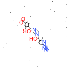 Cc1nc(-n2cnnn2)ccc1[C@@H](O)CN1CCN(C[C@H](O)c2ccc3c(c2C)COC3=O)CC1